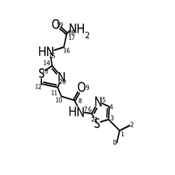 CC(C)c1cnc(NC(=O)Cc2csc(NCC(N)=O)n2)s1